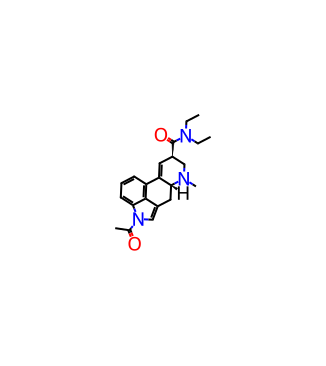 CCN(CC)C(=O)[C@@H]1C=C2c3cccc4c3c(cn4C(C)=O)C[C@H]2N(C)C1